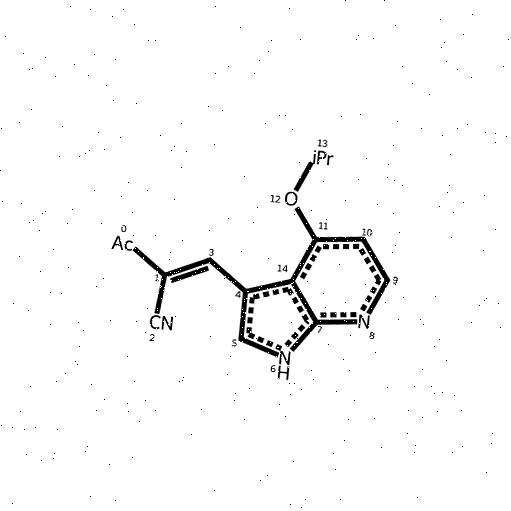 CC(=O)/C(C#N)=C/c1c[nH]c2nccc(OC(C)C)c12